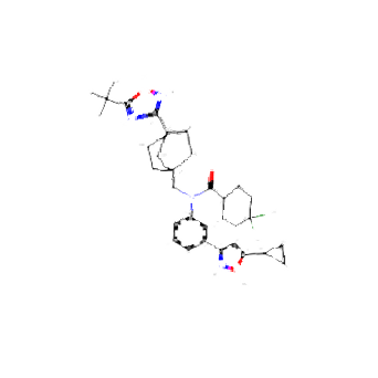 CC(C)(C)c1nc(C23CCC(CN(C(=O)C4CCC(F)(F)CC4)c4cccc(-c5cc(C6CC6)on5)c4)(CC2)C3)no1